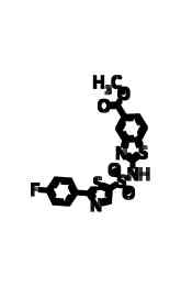 COC(=O)c1ccc2sc(NS(=O)(=O)c3cnc(-c4ccc(F)cc4)s3)nc2c1